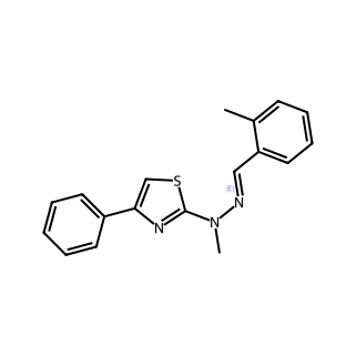 Cc1ccccc1/C=N/N(C)c1nc(-c2ccccc2)cs1